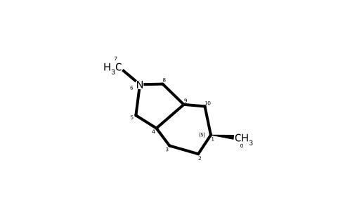 C[C@H]1CCC2CN(C)CC2C1